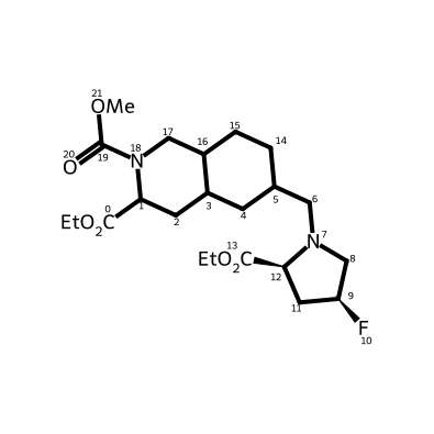 CCOC(=O)C1CC2CC(CN3C[C@@H](F)C[C@H]3C(=O)OCC)CCC2CN1C(=O)OC